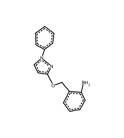 Bc1ccccc1COc1ccn(-c2ccccc2)n1